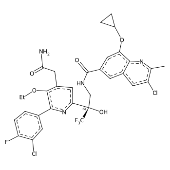 CCOc1c(CC(N)=O)cc([C@@](O)(CNC(=O)c2cc(OC3CC3)c3nc(C)c(Cl)cc3c2)C(F)(F)F)nc1-c1ccc(F)c(Cl)c1